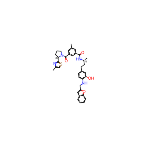 Cc1cc(C(=O)N[C@@H](C)CCc2ccc(NCc3cc4ccccc4o3)c(O)c2)cc(C(=O)N2CCC[C@@H]2c2nc(C)cs2)c1